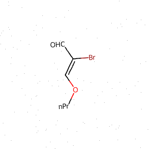 CCCO/C=C(\Br)C=O